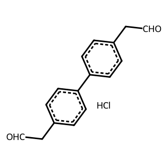 Cl.O=CCc1ccc(-c2ccc(CC=O)cc2)cc1